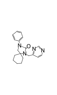 O=C1N(c2ccccc2)CC2(CCCCC2)N1Cc1ccncn1